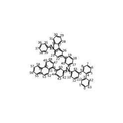 c1ccc(-c2ccccc2-c2cccc(N(c3cccc(-c4ccc5c(c4)c4ccccc4n5-c4ccccc4)c3)c3cccc(-c4cccc5c4ccc4ccccc45)c3)c2)cc1